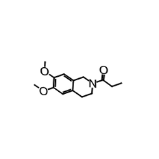 CCC(=O)N1CCc2cc(OC)c(OC)cc2C1